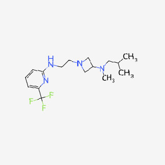 CC(C)CN(C)C1CN(CCNc2cccc(C(F)(F)F)n2)C1